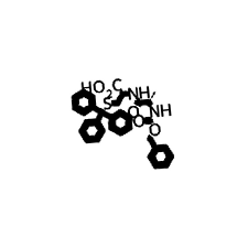 C[C@H](NC(=O)OCc1ccccc1)C(=O)N[C@@H](CSC(c1ccccc1)(c1ccccc1)c1ccccc1)C(=O)O